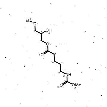 CCOCC(O)COC(=O)CCCCNC(=O)OC